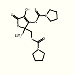 CCOC(=O)C1(CSC(=S)N2CCCC2)OC(=O)C(O)=C1SC(=S)N1CCCC1